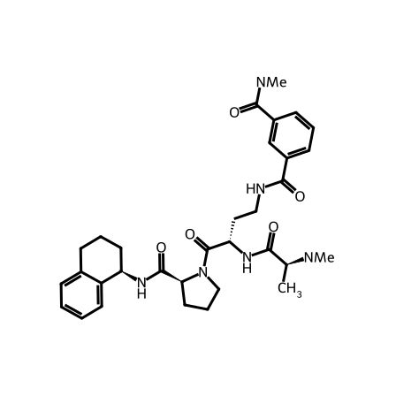 CNC(=O)c1cccc(C(=O)NCC[C@H](NC(=O)[C@H](C)NC)C(=O)N2CCC[C@H]2C(=O)N[C@@H]2CCCc3ccccc32)c1